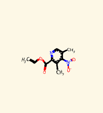 CCOC(=O)c1ncc(C)c([N+](=O)[O-])c1C